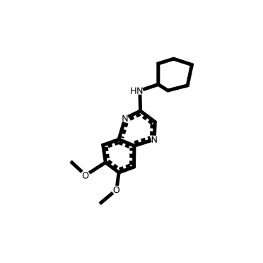 COc1cc2ncc(NC3CCCCC3)nc2cc1OC